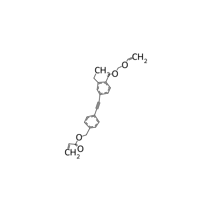 C=COCOCc1ccc(C#Cc2ccc(COC(=O)C=C)cc2)cc1CC